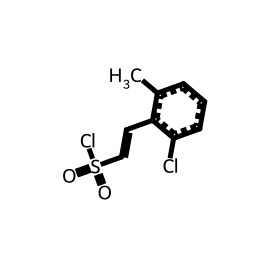 Cc1cccc(Cl)c1C=CS(=O)(=O)Cl